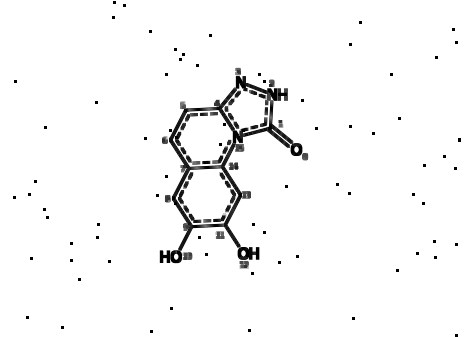 O=c1[nH]nc2ccc3cc(O)c(O)cc3n12